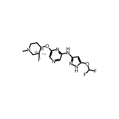 CN1CC[C@@H](Oc2cncc(Nc3cc(OC(F)F)[nH]n3)n2)[C@@](C)(F)C1